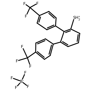 FC(F)(F)c1ccc(-c2cccc([SH2+])c2-c2ccc(C(F)(F)F)cc2)cc1.F[B-](F)(F)F